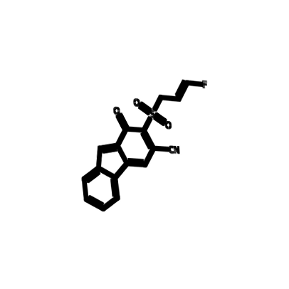 N#CC1=C(S(=O)(=O)CC=CF)C(=O)C2=Cc3ccccc3C2=C1